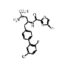 CC(C)c1coc(C(=O)NC(Cc2ccc(-c3cc(Cl)ccc3F)cc2)C[C@@H](N)C(=O)O)n1